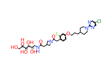 O=C(CC1CN(C(=O)Cc2ccc(OCCCC3CCN(c4ncc(Cl)cn4)CC3)cc2F)C1)NC[C@H](O)[C@@H](O)[C@H](O)[C@H](O)CO